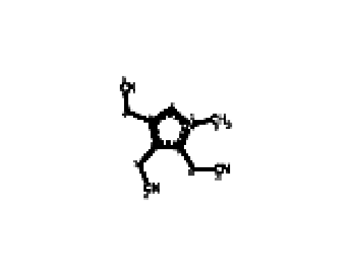 Cn1cc(CC#N)c(CC#N)c1CC#N